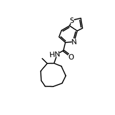 CC1CCCCCCCC1NC(=O)c1ccc2sccc2n1